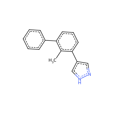 Cc1c(-c2ccccc2)cccc1-c1cn[nH]c1